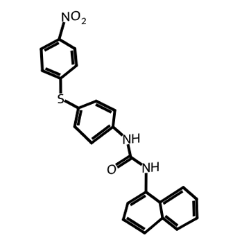 O=C(Nc1ccc(Sc2ccc([N+](=O)[O-])cc2)cc1)Nc1cccc2ccccc12